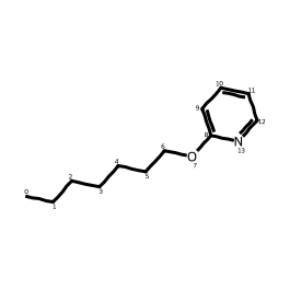 CCCCCCCOc1ccccn1